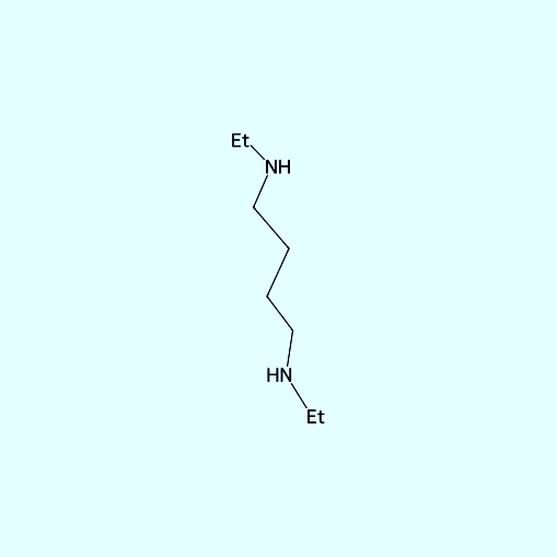 [CH2]CNCCCCNCC